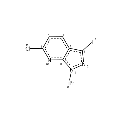 CC(C)n1nc(I)c2ccc(Cl)nc21